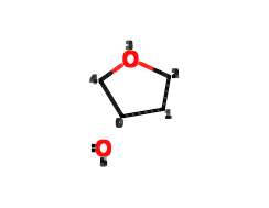 C1CCOC1.[O]